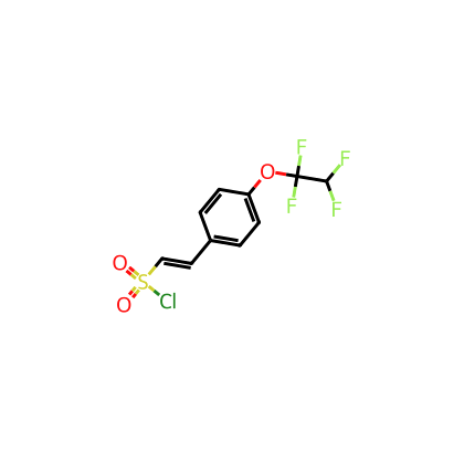 O=S(=O)(Cl)/C=C/c1ccc(OC(F)(F)C(F)F)cc1